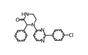 O=C1NCCN(c2ccnc(-c3ccc(Cl)cc3)n2)C1c1ccccc1